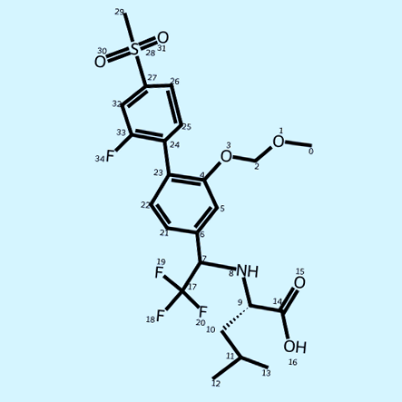 COCOc1cc(C(N[C@@H](CC(C)C)C(=O)O)C(F)(F)F)ccc1-c1ccc(S(C)(=O)=O)cc1F